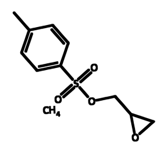 C.Cc1ccc(S(=O)(=O)OCC2CO2)cc1